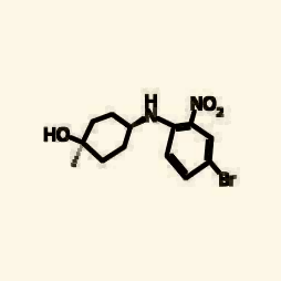 C[C@]1(O)CC[C@@H](Nc2ccc(Br)cc2[N+](=O)[O-])CC1